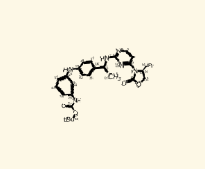 CC(Nc1nccc(N2C(=O)OC[C@@H]2C(C)C)n1)c1ccc(Nc2cccc(NC(=O)OC(C)(C)C)c2)cc1